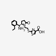 CCc1ccccc1C(N)[C@H]1CCC(=O)N1CCSc1nc(C(=O)O)cs1